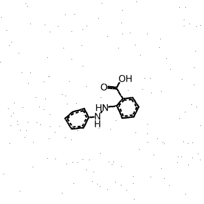 O=C(O)c1ccccc1NNc1ccccc1